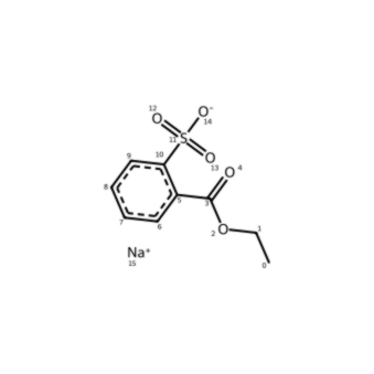 CCOC(=O)c1ccccc1S(=O)(=O)[O-].[Na+]